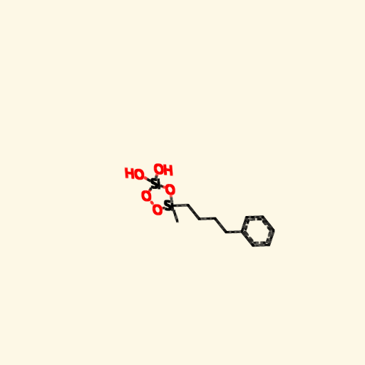 C[Si]1(CCCCc2ccccc2)OO[Si](O)(O)O1